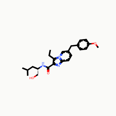 CCc1c(C(=O)N[C@H](CO)CC(C)C)nc2ccc(Cc3ccc(OC)cc3)cn12